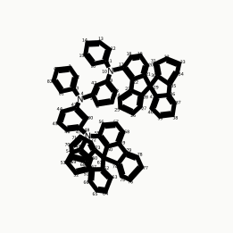 c1ccc(N(c2cccc(N(c3ccccc3)c3cccc4c3-c3ccccc3C43c4ccccc4-c4ccccc43)c2)c2cccc(N(c3ccccc3)c3cccc4c3C3(c5ccccc5-c5ccccc53)c3ccccc3-4)c2)cc1